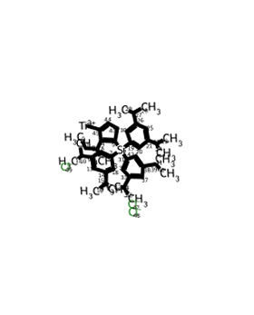 CCC(C)C1=C([Si](c2cc(C(C)C)cc(C(C)C)c2)(c2cc(C(C)C)cc(C(C)C)c2)c2cc(C(C)C)cc(C(C)C)c2)CC=[C]1[Ti+3].[Cl-].[Cl-].[Cl-]